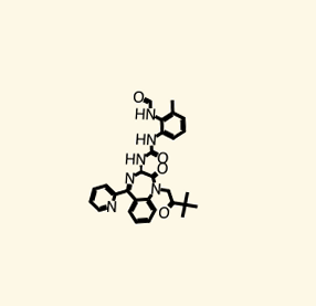 Cc1cccc(NC(=O)N[C@@H]2N=C(c3ccccn3)c3ccccc3N(CC(=O)C(C)(C)C)C2=O)c1NC=O